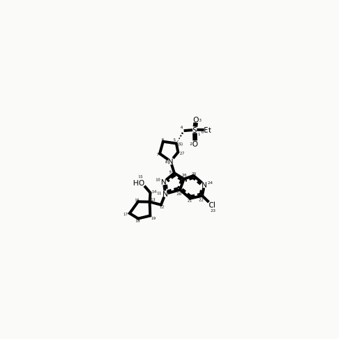 CCS(=O)(=O)C[C@H]1CCN(c2nn(CC3(CO)CCCC3)c3cc(Cl)ncc23)C1